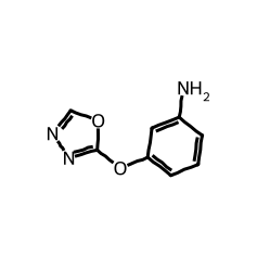 Nc1cccc(Oc2nnco2)c1